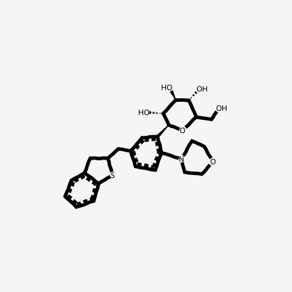 OCC1O[C@@H](c2cc(CC3Cc4ccccc4S3)ccc2N2CCOCC2)[C@H](O)[C@@H](O)[C@@H]1O